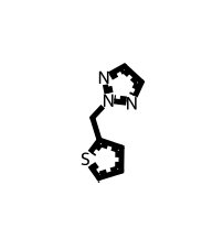 [c]1ccc(Cn2nccn2)s1